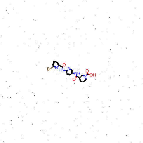 O=C(Nc1ccc(NC(=O)C2CCCN(C(=O)O)C2)cn1)c1cccc(Br)n1